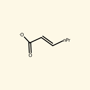 CCC/C=C/C([O])=O